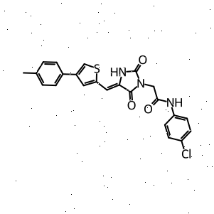 Cc1ccc(-c2csc(/C=C3\NC(=O)N(CC(=O)Nc4ccc(Cl)cc4)C3=O)c2)cc1